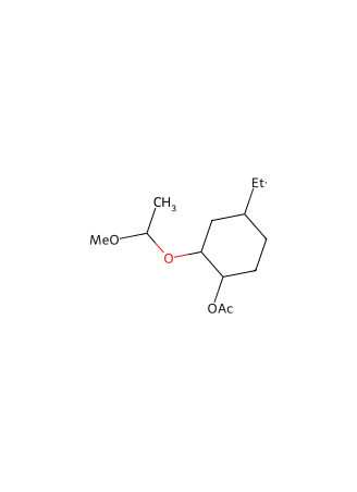 C[CH]C1CCC(OC(C)=O)C(OC(C)OC)C1